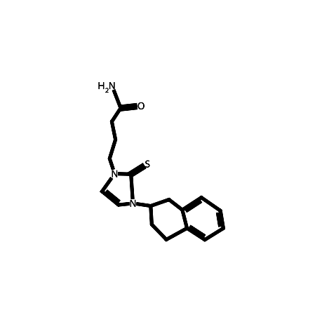 NC(=O)CCCn1ccn(C2CCc3ccccc3C2)c1=S